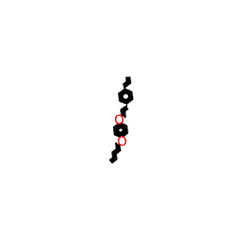 CCCCCOc1ccc(OCCC[C@H]2CC[C@H](CCC)CC2)cc1